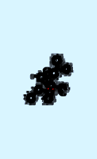 Cc1cc2c3c(c1)N(c1ccc(-c4ccccc4)cc1-c1cccc4ccccc14)c1ccc(-c4ccccc4)cc1B3c1ccc(N(c3ccccc3)c3ccccc3)cc1O2